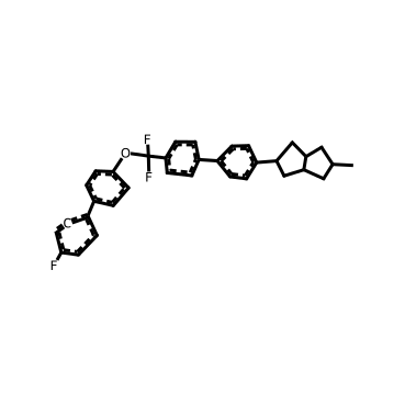 CC1CC2CC(c3ccc(-c4ccc(C(F)(F)Oc5ccc(-c6ccc(F)cc6)cc5)cc4)cc3)CC2C1